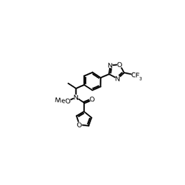 CON(C(=O)c1ccoc1)C(C)c1ccc(-c2noc(C(F)(F)F)n2)cc1